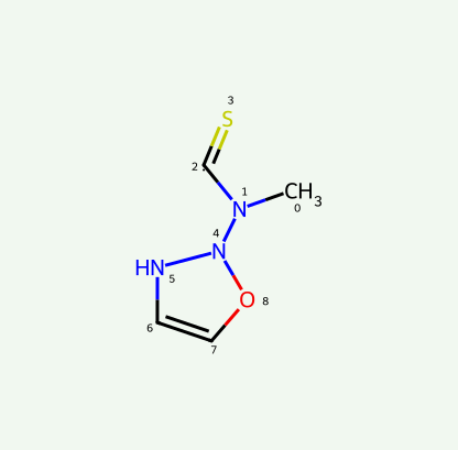 CN([C]=S)N1NC=CO1